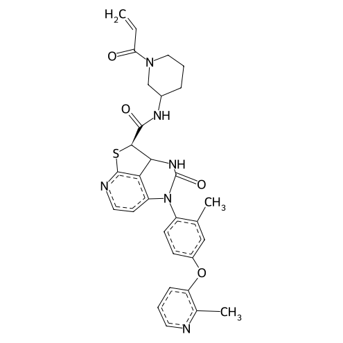 C=CC(=O)N1CCCC(NC(=O)[C@@H]2Sc3nccc4c3C2NC(=O)N4c2ccc(Oc3cccnc3C)cc2C)C1